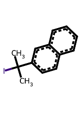 CC(C)(I)c1ccc2ccccc2c1